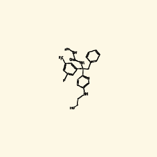 CCCNC(=O)NC(Cc1ccccc1)(c1cc(F)cc(C(F)(F)F)c1)c1ccc(NCCO)cn1